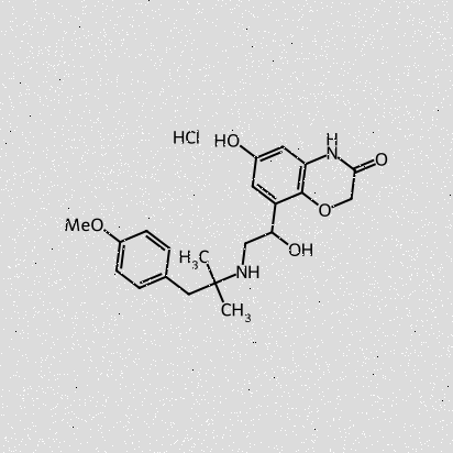 COc1ccc(CC(C)(C)NCC(O)c2cc(O)cc3c2OCC(=O)N3)cc1.Cl